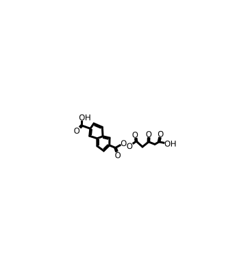 O=C(O)CC(=O)CC(=O)OOC(=O)c1ccc2cc(C(=O)O)ccc2c1